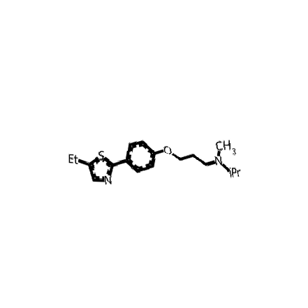 CCc1cnc(-c2ccc(OCCCN(C)C(C)C)cc2)s1